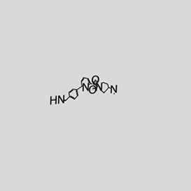 CN(C)C1CCN(S(=O)(=O)c2cccc(-c3ccc(C=N)cc3)n2)CC1